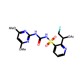 COc1cc(OC)nc(NC(=O)NS(=O)(=O)c2cccnc2C(CF)OC(C)=O)n1